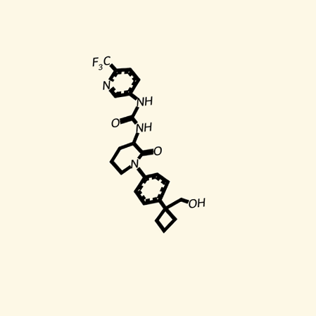 O=C(Nc1ccc(C(F)(F)F)nc1)NC1CCCN(c2ccc(C3(CO)CCC3)cc2)C1=O